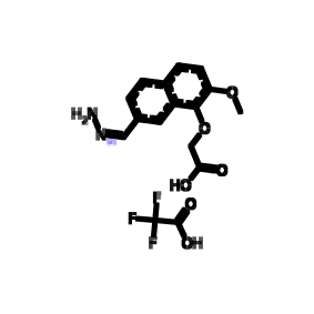 COc1ccc2ccc(/C=N\N)cc2c1OCC(=O)O.O=C(O)C(F)(F)F